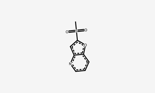 CS(=O)(=O)c1cc2ncccc2o1